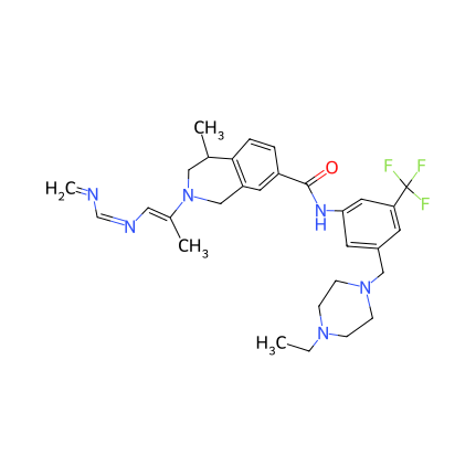 C=N/C=N\C=C(/C)N1Cc2cc(C(=O)Nc3cc(CN4CCN(CC)CC4)cc(C(F)(F)F)c3)ccc2C(C)C1